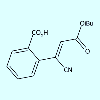 CC(C)COC(=O)C=C(C#N)c1ccccc1C(=O)O